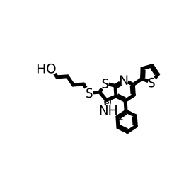 N[C@H]1c2c(-c3ccccc3)cc(-c3cccs3)nc2SC1SCCCCO